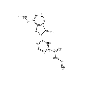 CNCc1cccc2c1CN(c1cccc(C(=N)NC=N)n1)C2=O